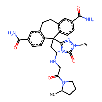 CC(C)n1nc(C2(CCNCC(=O)N3CCCC3C#N)c3ccc(C(N)=O)cc3CCc3cc(C(N)=O)ccc32)[nH]c1=O